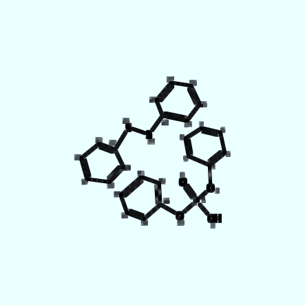 O=P(O)(Oc1ccccc1)Oc1ccccc1.c1ccc(SSc2ccccc2)cc1